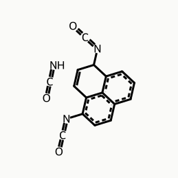 N=C=O.O=C=Nc1ccc2cccc3c2c1C=CC3N=C=O